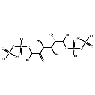 O=C(C(O)OP(=O)(O)OP(=O)(O)O)[C@@H](O)[C@H](O)[C@H](O)C(O)OP(=O)(O)OP(=O)(O)O